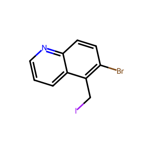 Brc1ccc2ncccc2c1CI